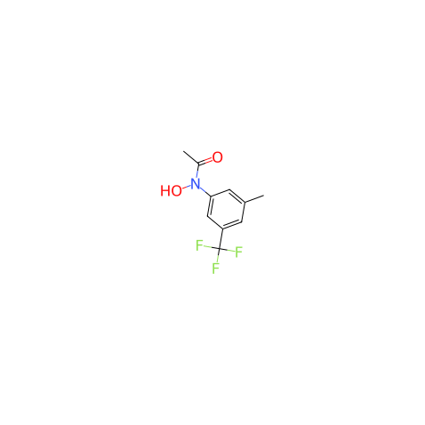 CC(=O)N(O)c1cc(C)cc(C(F)(F)F)c1